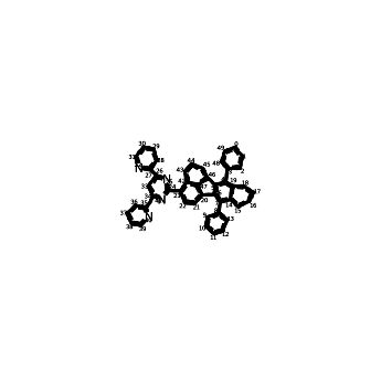 c1ccc(-c2c3c(c(-c4ccccc4)c4ccccc24)-c2ccc(-c4nc(-c5ccccn5)cc(-c5ccccn5)n4)c4cccc-3c24)cc1